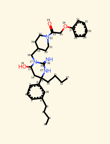 CCCCc1cccc(C2(CCCC)CC(O)N(CC3CCN(C(=O)COc4ccccc4)CC3)C(=N)N2)c1